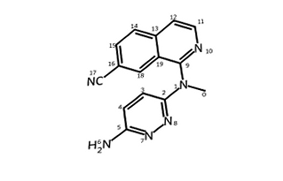 CN(c1ccc(N)nn1)c1nccc2ccc(C#N)cc12